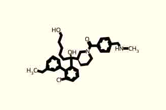 CCc1cccc(-c2c(Cl)cccc2[C@](O)(CCCCCO)[C@@H]2CCCN(C(=O)c3ccc(CNC)cc3)C2)c1